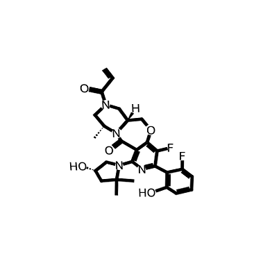 C=CC(=O)N1C[C@@H]2COc3c(F)c(-c4c(O)cccc4F)nc(N4C[C@@H](O)CC4(C)C)c3C(=O)N2[C@H](C)C1